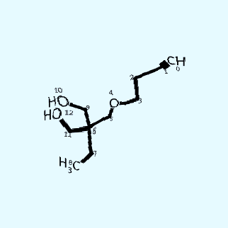 C#CCCOCC(CC)(CO)CO